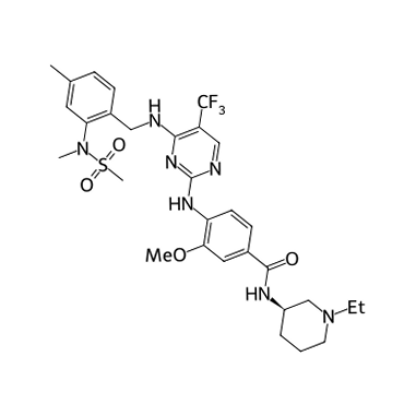 CCN1CCC[C@@H](NC(=O)c2ccc(Nc3ncc(C(F)(F)F)c(NCc4ccc(C)cc4N(C)S(C)(=O)=O)n3)c(OC)c2)C1